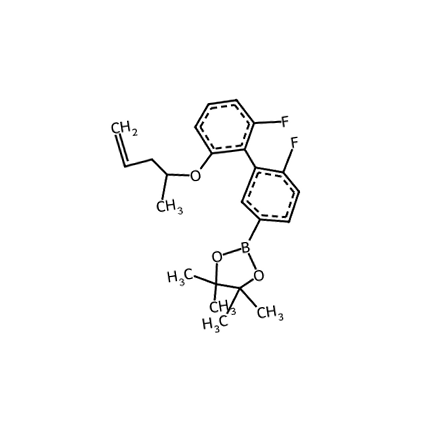 C=CCC(C)Oc1cccc(F)c1-c1cc(B2OC(C)(C)C(C)(C)O2)ccc1F